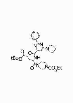 CCOC(=O)N1CCN(C(=O)C(CCC(=O)OC(C)(C)C)NC(=O)c2cc(N3CCCCC3)nc(-c3ccccc3)n2)CC1